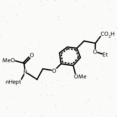 CCCCCCCN(CCOc1ccc(CC(OCC)C(=O)O)cc1OC)C(=O)OC